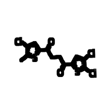 Cc1sc(C(=O)CCC(=O)c2cc(Cl)c(Cl)s2)cc1Cl